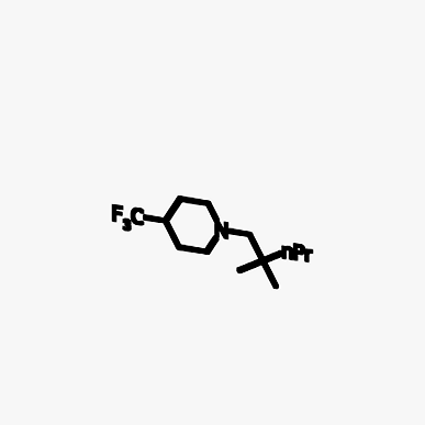 CCCC(C)(C)CN1CCC(C(F)(F)F)CC1